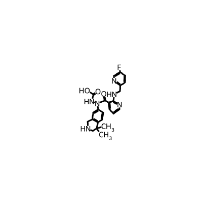 CC1(C)CNCc2cc(N(NC(=O)O)C(=O)c3cccnc3NCc3ccc(F)cn3)ccc21